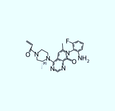 C=CC(=O)N1CCN(c2ncnc3c(=O)n(-c4c(N)cccc4F)c(C)cc23)[C@H](C)C1